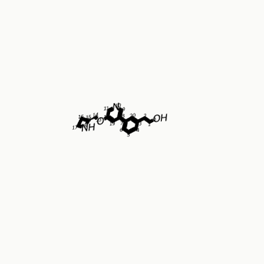 OCCc1cccc(-c2cncc(OC[C@@H]3CCN3)c2)c1